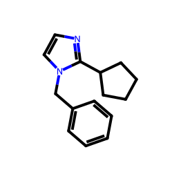 c1ccc(Cn2ccnc2C2CCCC2)cc1